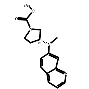 CN(c1ccc2cccnc2c1)[C@@H]1CCN(C(=O)OC(C)(C)C)C1